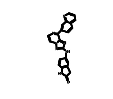 O=C1Cc2cc(Nc3nc4c(-c5ccc6cccnc6c5)nccn4n3)ccc2N1